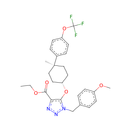 CCOC(=O)c1nnn(Cc2ccc(OC)cc2)c1O[C@H]1CC[C@](C)(c2ccc(OC(F)(F)F)cc2)CC1